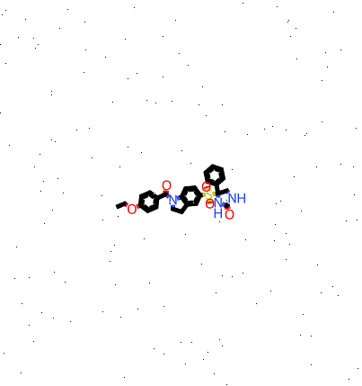 CCOc1ccc(C(=O)N2CCc3cc(S(=O)(=O)C4(c5ccccc5)CNC(=O)N4)ccc32)cc1